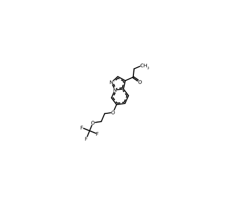 CCC(=O)c1cnn2cc(OCCOC(F)(F)F)ccc12